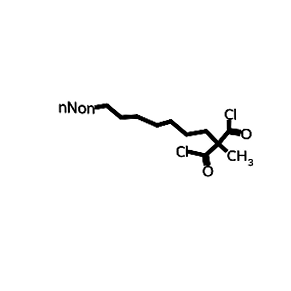 CCCCCCCCCCCCCCCCC(C)(C(=O)Cl)C(=O)Cl